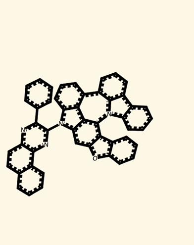 c1ccc(-c2nc3ccc4ccccc4c3nc2-n2c3cccc4c5cccc6c7ccccc7n(c56)c5c6c(cc2c5c43)oc2ccccc26)cc1